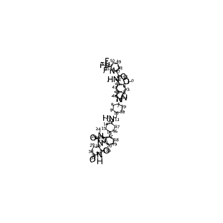 COc1cc2nn(C3CCC(CNC4CCC(c5cccc6c5n(C)c(=O)n6C5CCC(=O)NC5=O)CC4)CC3)cc2cc1NC(=O)c1cccc(C(F)(F)F)n1